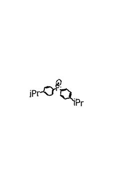 CC(C)c1ccc([P](=O)c2ccc(C(C)C)cc2)cc1